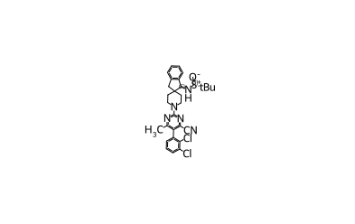 Cc1nc(N2CCC3(CC2)Cc2ccccc2[C@H]3N[S@+]([O-])C(C)(C)C)nc(C#N)c1-c1cccc(Cl)c1Cl